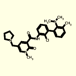 Cc1cccc(-c2cccc(NC(=O)c3cc(CN4CCCC4)cn(C)c3=O)c2Cl)c1N(C)C